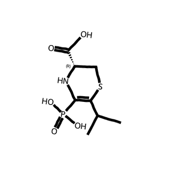 CC(C)C1=C(P(=O)(O)O)N[C@H](C(=O)O)CS1